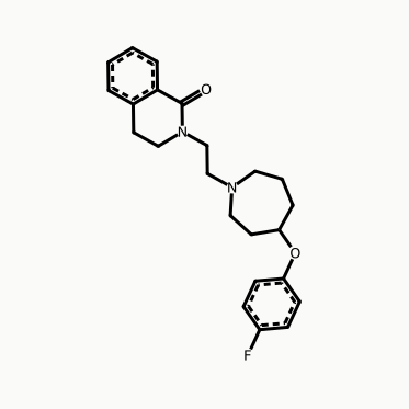 O=C1c2ccccc2CCN1CCN1CCCC(Oc2ccc(F)cc2)CC1